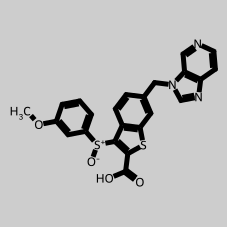 COc1cccc([S+]([O-])c2c(C(=O)O)sc3cc(Cn4cnc5ccncc54)ccc23)c1